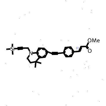 COC(=O)/C=C/c1ccc(C#Cc2ccc3c(c2)C(C)(C)CCN3CC#C[Si](C)(C)C)cc1